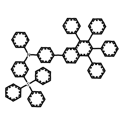 c1ccc(-c2c(-c3ccccc3)c(-c3ccccc3)c3cc(-c4ccc(N(c5ccccc5)c5cccc(S(c6ccccc6)(c6ccccc6)c6ccccc6)c5)cc4)ccc3c2-c2ccccc2)cc1